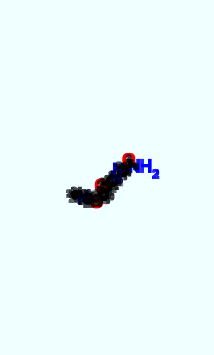 NC(=O)c1ccc(N2CCC3(CC2)COc2cc(OC4CCN(C5CCC5)CC4)ccc2C3)nc1